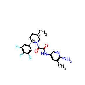 Cc1cc(NC(=O)C(=O)N2C[C@H](C)CC[C@H]2c2cc(F)c(F)c(F)c2)cnc1N